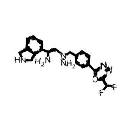 N/C(=C\N(N)Cc1ccc(-c2nnc(C(F)F)o2)cc1)c1cccc2c1CNC2